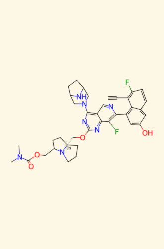 C#Cc1c(F)ccc2cc(O)cc(-c3ncc4c(N5CC6CCC(C5)N6)nc(OC[C@]56CCCN5C(COC(=O)N(C)C)CC6)nc4c3F)c12